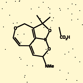 CC(=O)O.CNC1C=C2C=COCC3=C2B(O1)OC3(C)C